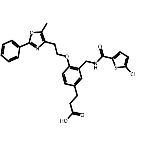 Cc1oc(-c2ccccc2)nc1CCOc1ccc(CCC(=O)O)cc1CNC(=O)c1ccc(Cl)s1